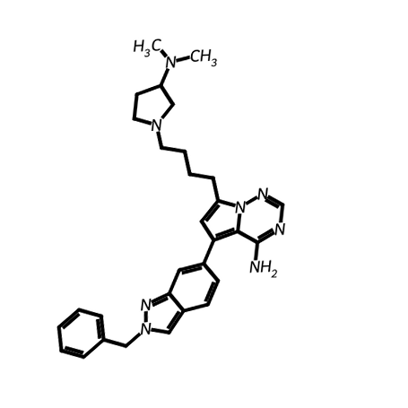 CN(C)C1CCN(CCCCc2cc(-c3ccc4cn(Cc5ccccc5)nc4c3)c3c(N)ncnn23)C1